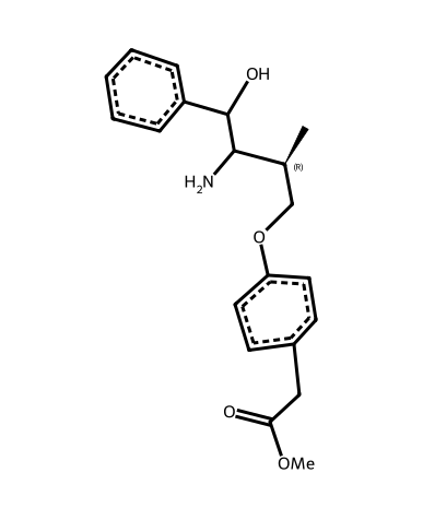 COC(=O)Cc1ccc(OC[C@H](C)C(N)C(O)c2ccccc2)cc1